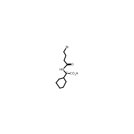 O=C(CCCBr)N[C@@H](C(=O)O)C1CCCCC1